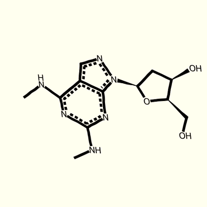 CNc1nc(NC)c2cnn([C@H]3C[C@@H](O)[C@@H](CO)O3)c2n1